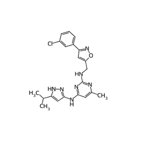 Cc1cc(Nc2cc(C(C)C)[nH]n2)nc(NCc2cc(-c3cccc(Cl)c3)no2)n1